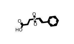 O=C(O)CCS(=O)(=O)/C=C/c1ccccc1